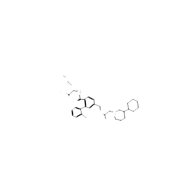 CSCC[C@H](NC(=O)c1ccc(COC(C)CN2CCCC(C3CCCCC3)C2)cc1-c1ccccc1C)C(=O)O